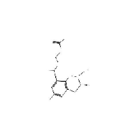 CC(=O)N[C@H]1Cc2cc(Cl)cc(C(O)OCOC(=O)C(C)(C)C)c2OB1O